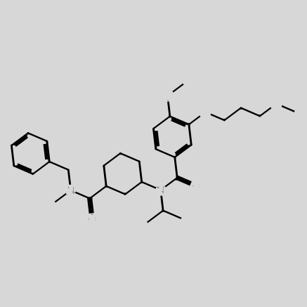 COCCCOc1cc(C(=O)N(C(C)C)C2CCCC(C(=O)N(C)Cc3ccccc3)C2)ccc1OC